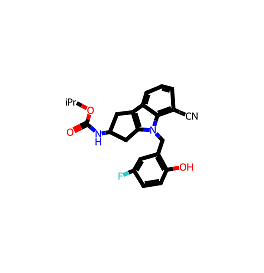 CC(C)OC(=O)NC1Cc2c(n(Cc3cc(F)ccc3O)c3c(C#N)cccc23)C1